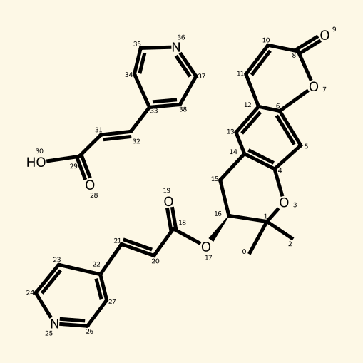 CC1(C)Oc2cc3oc(=O)ccc3cc2C[C@@H]1OC(=O)/C=C/c1ccncc1.O=C(O)/C=C/c1ccncc1